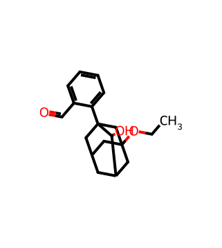 CCOC12CC3CC(C1)C(O)C(c1ccccc1C=O)(C3)C2